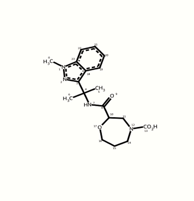 Cn1nc(C(C)(C)NC(=O)C2CN(C(=O)O)CCCO2)c2ccccc21